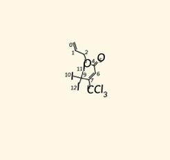 C=CCOC(=O)C=C(C(Cl)(Cl)Cl)C(I)(I)I